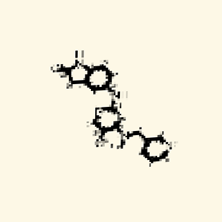 CN(Cc1cccnc1)c1nc(Nc2ccc3c(c2)CC(=O)N3)ncc1C(F)(F)F